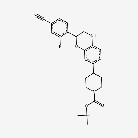 CC(C)(C)OC(=O)N1CCC(c2ccc3c(n2)OC(c2ccc(C#N)cc2F)CN3)CC1